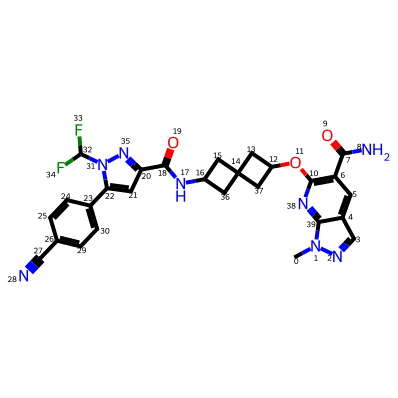 Cn1ncc2cc(C(N)=O)c(OC3CC4(CC(NC(=O)c5cc(-c6ccc(C#N)cc6)n(C(F)F)n5)C4)C3)nc21